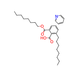 CCCCCCCCOC(=O)c1cccc(CCCCCCCC)c1C(=O)O.c1ccncc1